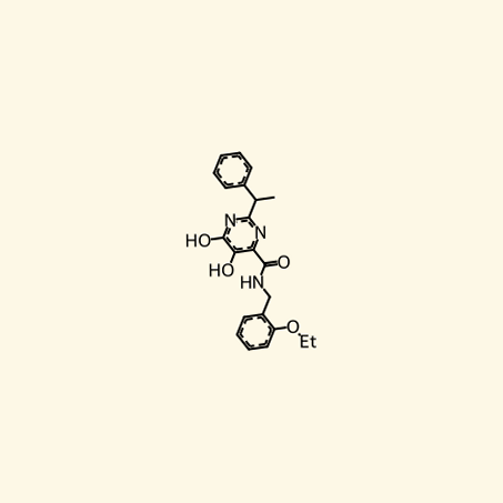 CCOc1ccccc1CNC(=O)c1nc(C(C)c2ccccc2)nc(O)c1O